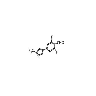 O=Cc1c(F)cc(-c2csc(C(F)(F)F)c2)cc1F